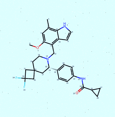 COc1cc(C)c2[nH]ccc2c1CN1CCC2(C[C@H]1c1ccc(NC(=O)C3CC3)cc1)CC(F)(F)C2